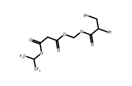 CC(C)CC(C(=O)OCOC(=O)CC(=O)OC(C(F)(F)F)C(F)(F)F)C(C)C